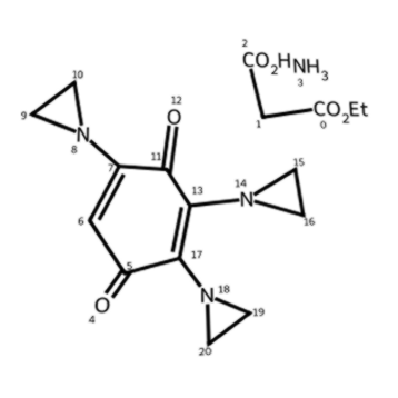 CCOC(=O)CC(=O)O.N.O=C1C=C(N2CC2)C(=O)C(N2CC2)=C1N1CC1